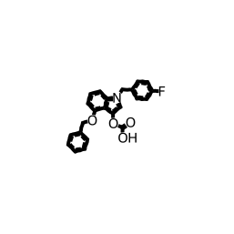 O=C(O)Oc1cn(Cc2ccc(F)cc2)c2cccc(OCc3ccccc3)c12